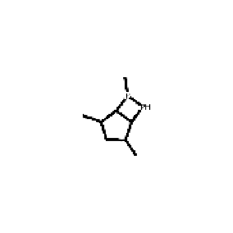 CC1CC(C)C2C1PP2C